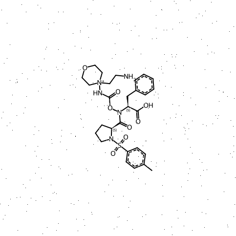 Cc1ccc(S(=O)(=O)N2CCC[C@H]2C(=O)N(OC(=O)N[N+]2(CCN)CCOCC2)[C@@H](Cc2ccccc2)C(=O)O)cc1